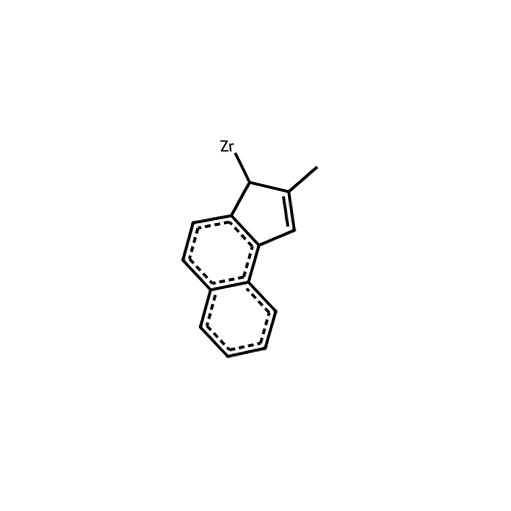 CC1=Cc2c(ccc3ccccc23)[CH]1[Zr]